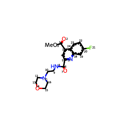 COC(=O)c1cc(C(=O)NCCN2CCOCC2)nc2cc(F)ccc12